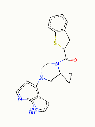 O=C(C1Cc2ccccc2S1)N1CCN(c2ccnc3[nH]ccc23)CC12CC2